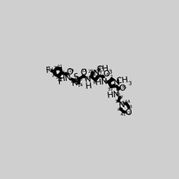 Cn1cc(NC(=O)c2cc(NC(=O)c3cnc(NC(=O)c4ccc(F)cc4F)s3)cn2C)cc1C(=O)NCCN1CCOCC1